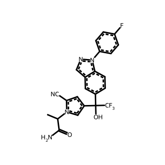 CC(C(N)=O)n1cc(C(O)(c2ccc3c(cnn3-c3ccc(F)cc3)c2)C(F)(F)F)cc1C#N